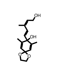 CC1=CC2(C=C(C)C1(O)/C=C/C(C)=C\CO)OCCO2